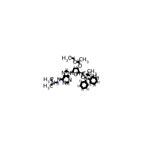 CCO[C@@H](C)OC1C[C@H](n2cnc3c(/N=C/N(C)C)ncnc32)O[C@@H]1CO[Si](c1ccccc1)(c1ccccc1)C(C)(C)C